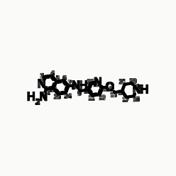 Nc1nccc2cc(NCc3ccc(OCC4CCNCC4)nc3)ccc12